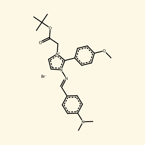 COc1ccc(-c2n(/N=C/c3ccc(N(C)C)cc3)cc[n+]2CC(=O)OC(C)(C)C)cc1.[Br-]